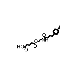 O=C(O)CCCC(=O)OCCNC(=O)CCCc1ccc(I)cc1